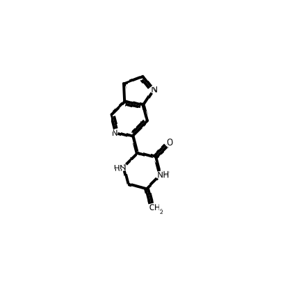 C=C1CNC(c2cc3c(cn2)CC=N3)C(=O)N1